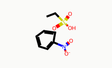 CCS(=O)(=O)O.O=[N+]([O-])c1ccccc1